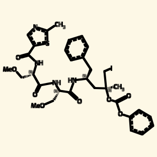 COC[C@H](NC(=O)c1cnc(C)s1)C(=O)N[C@@H](COC)C(=O)N[C@@H](Cc1ccccc1)C[C@@](C)(CI)OC(=O)Oc1ccccc1